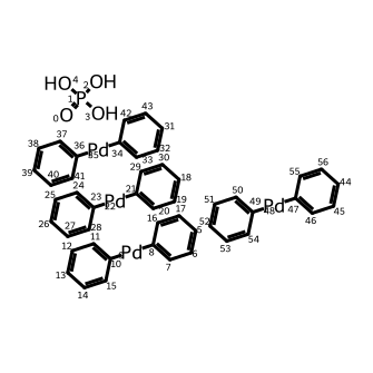 O=P(O)(O)O.c1cc[c]([Pd][c]2ccccc2)cc1.c1cc[c]([Pd][c]2ccccc2)cc1.c1cc[c]([Pd][c]2ccccc2)cc1.c1cc[c]([Pd][c]2ccccc2)cc1